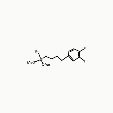 CC[Si](CCCCc1ccc(F)c(F)c1)(OC)OC